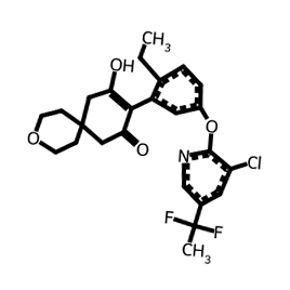 CCc1ccc(Oc2ncc(C(C)(F)F)cc2Cl)cc1C1=C(O)CC2(CCOCC2)CC1=O